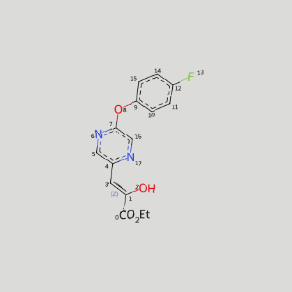 CCOC(=O)/C(O)=C/c1cnc(Oc2ccc(F)cc2)cn1